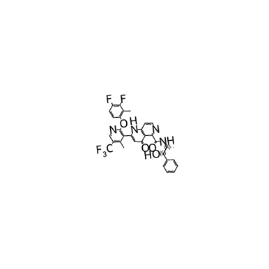 Cc1c(Oc2ncc(C(F)(F)F)c(C)c2-c2cc(=O)c3c(C(=O)N[C@H](C)[C@@H](O)c4ccccc4)nccc3[nH]2)ccc(F)c1F